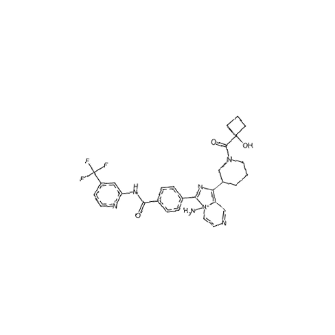 N[N+]12C=CN=CC1=C(C1CCCN(C(=O)C3(O)CCC3)C1)N=C2c1ccc(C(=O)Nc2cc(C(F)(F)F)ccn2)cc1